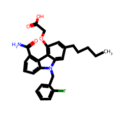 CCCCCc1cc(OCC(=O)O)c2c3c(C(N)=O)cccc3n(Cc3ccccc3F)c2c1